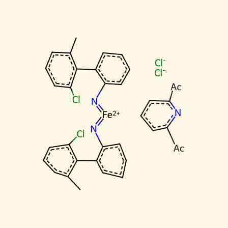 CC(=O)c1cccc(C(C)=O)n1.Cc1cccc(Cl)c1-c1ccccc1[N]=[Fe+2]=[N]c1ccccc1-c1c(C)cccc1Cl.[Cl-].[Cl-]